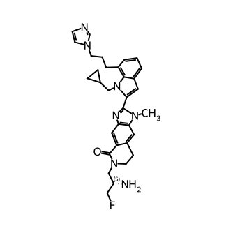 Cn1c(-c2cc3cccc(CCCn4ccnc4)c3n2CC2CC2)nc2cc3c(cc21)CCN(C[C@H](N)CF)C3=O